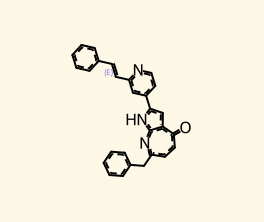 O=c1ccc(Cc2ccccc2)nc2[nH]c(-c3ccnc(/C=C/c4ccccc4)c3)cc12